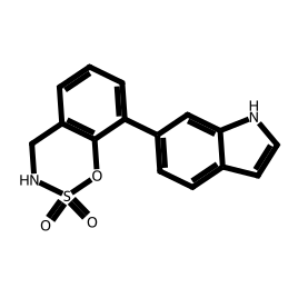 O=S1(=O)NCc2cccc(-c3ccc4cc[nH]c4c3)c2O1